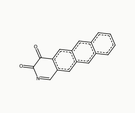 O=C1N=Cc2cc3cc4ccccc4cc3cc2C1=O